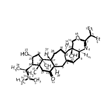 CCC(CC)C1=N[C@H]2CC=C3C[C@H]4C(=O)C[C@]5(C)[C@@H]([C@H](C)N(C)C)[C@H](O)C[C@@]5(C)[C@@H]4CC[C@H]3[C@]2(C)CO1